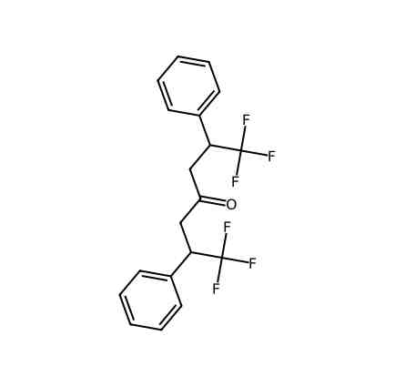 O=C(CC(c1ccccc1)C(F)(F)F)CC(c1ccccc1)C(F)(F)F